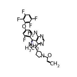 C=CC(=O)N1CCC(C(C)c2ncnc(N)c2/C(=N\C)c2ccc(Oc3c(F)c(F)cc(F)c3F)cc2F)C1